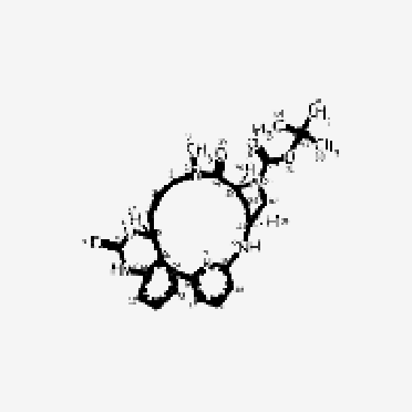 CN1CCC[C@H]2OC(=O)Nc3cccc(c32)-c2cccc(n2)N[C@H]2C[C@@H](C1=O)N(C(=O)OC(C)(C)C)C2